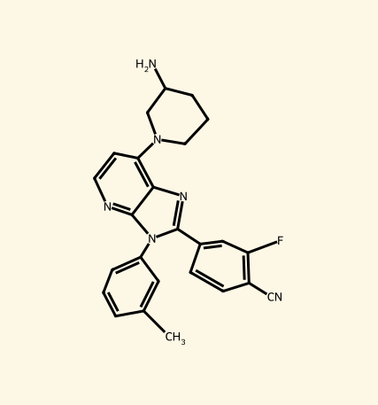 Cc1cccc(-n2c(-c3ccc(C#N)c(F)c3)nc3c(N4CCCC(N)C4)ccnc32)c1